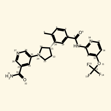 Cc1ccc(C(=O)Nc2cc(OC(F)(F)F)ccn2)cc1[C@@H]1CCN(c2cncc(C(N)=O)c2)C1